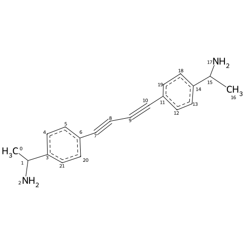 CC(N)c1ccc(C#CC#Cc2ccc(C(C)N)cc2)cc1